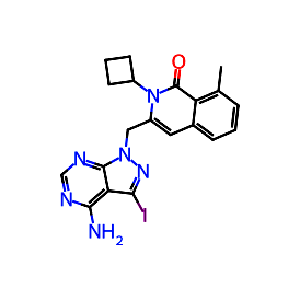 Cc1cccc2cc(Cn3nc(I)c4c(N)ncnc43)n(C3CCC3)c(=O)c12